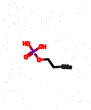 CSCCOP(=O)(O)O